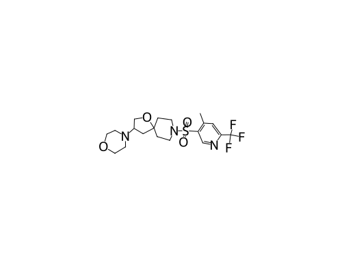 Cc1cc(C(F)(F)F)ncc1S(=O)(=O)N1CCC2(CC1)CC(N1CCOCC1)CO2